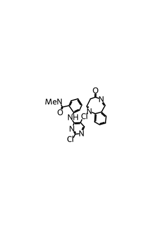 CNC(=O)c1ccccc1Nc1nc(Cl)ncc1Cl.O=C1CC=Nc2ccccc2C=N1